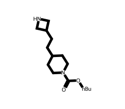 CCCCOC(=O)N1CCC(CCC2CNC2)CC1